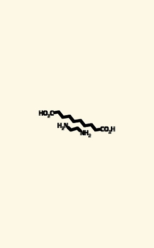 NCCN.O=C(O)CCCCCCCCC(=O)O